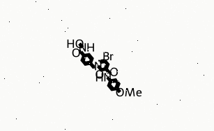 COc1ccc(NC(=O)c2cc(Br)cn(Cc3ccc(C(=O)NO)cc3)c2=O)cc1